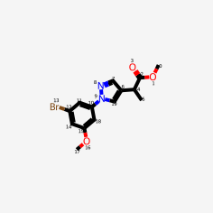 COC(=O)C(C)c1cnn(-c2cc(Br)cc(OC)c2)c1